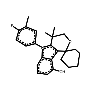 Cc1cc(-n2c3c(c4c(O)cccc42)C2(CCCCC2)OCC3(C)C)ccc1F